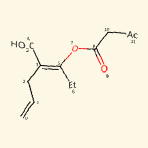 C=CCC(C(=O)O)=C(CC)OC(=O)CC(C)=O